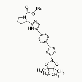 CC(C)(C)OC(=O)N1CCCC1c1ncc(-c2ccc(-c3ccc(B4OC(C)(C)C(C)(C)O4)s3)cc2)[nH]1